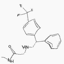 CNC(=O)CNCC(c1ccccc1)c1ccc(C(F)(F)F)cc1